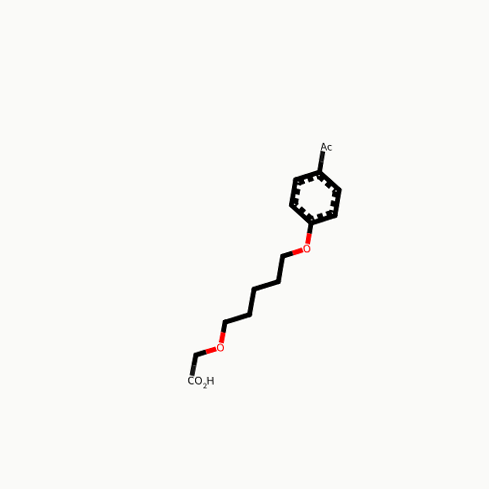 CC(=O)c1ccc(OCCCCCOCC(=O)O)cc1